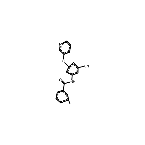 Cc1cccc(C(=O)Nc2cc(C#N)cc(Oc3cccnc3)c2)c1